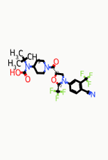 CC(C)(C)N(C(=O)O)C1CCN(C(=O)[C@@H]2CN(c3ccc(C#N)c(C(F)(F)F)c3)[C@@H](C(F)(F)F)O2)CC1